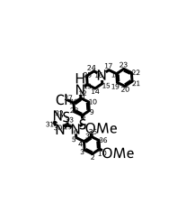 COc1ccc(CN(Sc2ccc(NC3CCN(Cc4ccccc4)CC3)c(Cl)c2)c2ncns2)c(OC)c1